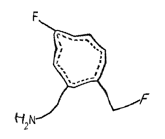 NCc1cc(F)ccc1CF